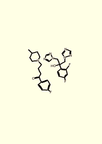 CC1CCN(CCCC(=O)c2ccc(F)cc2)CC1.OC(Cn1cncn1)(Cn1cncn1)c1ccc(F)cc1F